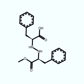 COC(=O)[C@H](Cc1ccccc1)NN[C@@H](Cc1ccccc1)C(=O)O